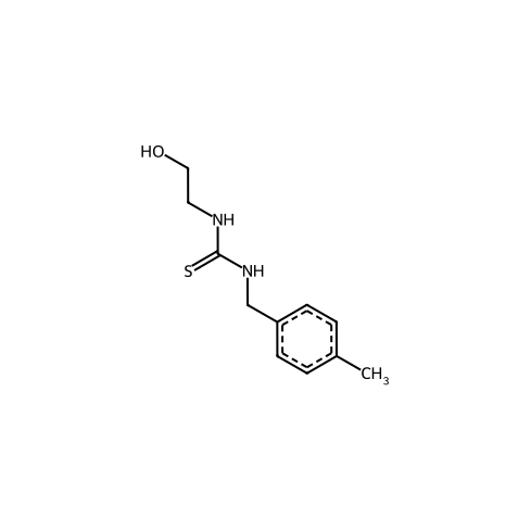 Cc1ccc(CNC(=S)NCCO)cc1